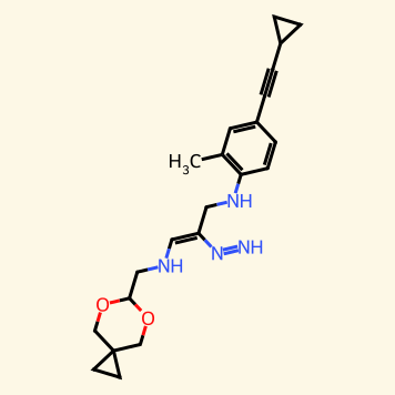 Cc1cc(C#CC2CC2)ccc1NC/C(=C/NCC1OCC2(CC2)CO1)N=N